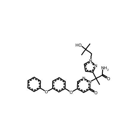 CC(C)(O)Cn1ccc(C(C)(C(N)=O)n2ncc(Oc3cccc(Oc4ccccc4)c3)cc2=O)n1